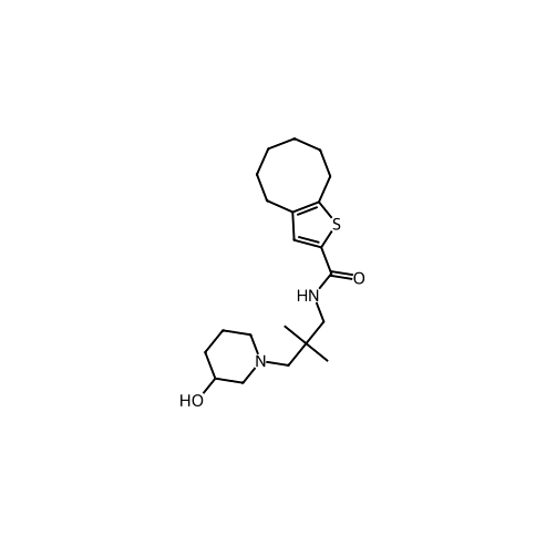 CC(C)(CNC(=O)c1cc2c(s1)CCCCCC2)CN1CCCC(O)C1